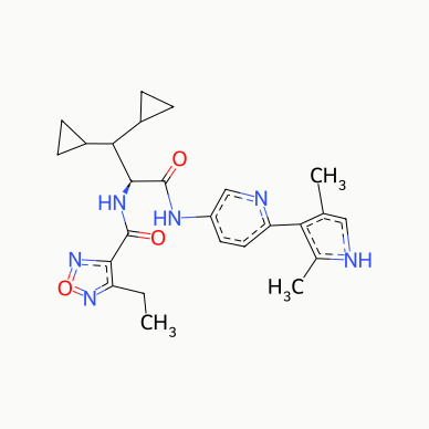 CCc1nonc1C(=O)N[C@H](C(=O)Nc1ccc(-c2c(C)c[nH]c2C)nc1)C(C1CC1)C1CC1